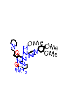 COc1cc(-n2cnc(Nc3nc(N4CCCC4C(N)=O)nc4cc(CN5CCCCC5)oc34)c2)cc(OC)c1OC